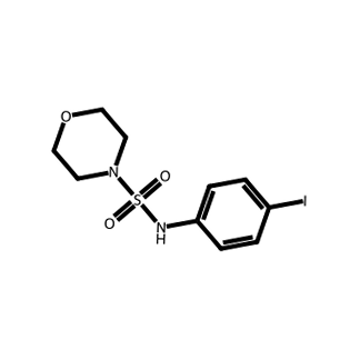 O=S(=O)(Nc1ccc(I)cc1)N1CCOCC1